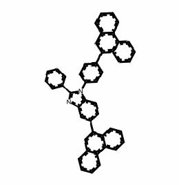 c1ccc(-c2nc3cc(-c4cc5ccccc5c5ccccc45)ccc3n2-c2ccc(-c3cc4ccccc4c4ccccc34)cc2)cc1